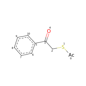 CC(=O)SCC(=O)c1ccccc1